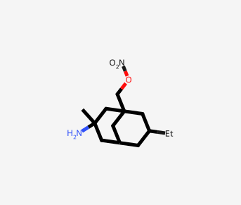 CCC1CC2CC(C)(N)CC(CO[N+](=O)[O-])(C1)C2